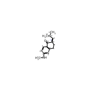 CNc1ncc2c(n1)CC/C(=C/N(C)C)C2=O